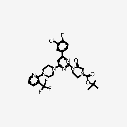 CC(C)(C)OC(=O)N1CCN(c2nc(-c3ccc(F)c(Cl)c3)cc(N3CCN(c4ncccc4C(F)(F)F)CC3)n2)C(=O)C1